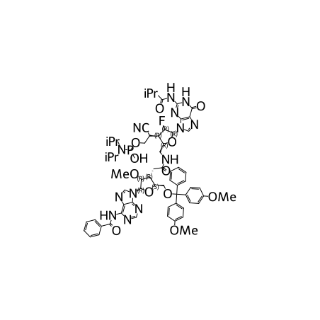 COc1ccc(C(OC[C@H]2O[C@@H](n3cnc4c(NC(=O)c5ccccc5)ncnc43)[C@H](OC)[C@@H]2CC(=O)NC[C@@H]2O[C@@H](n3cnc4c(=O)[nH]c(NC(=O)C(C)C)nc43)[C@H](F)[C@@H]2C(C#N)COP(O)N(C(C)C)C(C)C)(c2ccccc2)c2ccc(OC)cc2)cc1